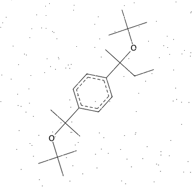 CCC(C)(OC(C)(C)C)c1ccc(C(C)(C)OC(C)(C)C)cc1